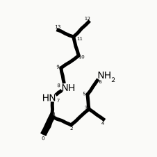 C=C(CC(C)CN)NNCCC(C)C